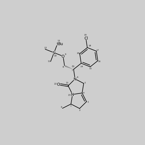 CC1CC=C2CN([C@H](CO[Si](C)(C)C(C)(C)C)c3cccc(Cl)c3)C(=O)N21